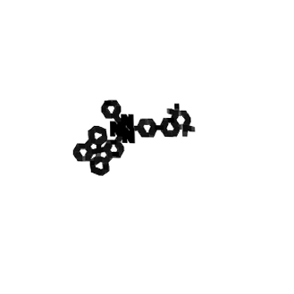 CC1(C)CCC(C)(C)c2cc(-c3ccc(-c4nc(-c5ccccc5)nc(-c5ccc6c(c5)C5(c7ccccc7-c7ccccc75)c5ccccc5-6)n4)cc3)ccc21